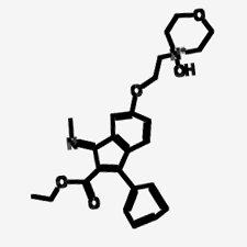 CCOC(=O)C1=C(c2ccccc2)c2ccc(OCC[N+]3(O)CCOCC3)cc2C1=NC